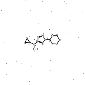 OC(c1cnn(C2CCCCO2)c1)C1CC1